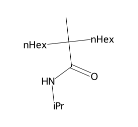 CCCCCCC(C)(CCCCCC)C(=O)NC(C)C